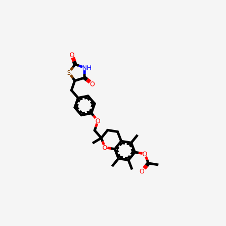 CC(=O)Oc1c(C)c(C)c2c(c1C)CCC(C)(COc1ccc(CC3SC(=O)NC3=O)cc1)O2